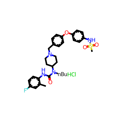 CCCCN(C(=O)Nc1ccc(F)cc1C)C1CCN(Cc2ccc(Oc3ccc(NS(C)(=O)=O)cc3)cc2)CC1.Cl